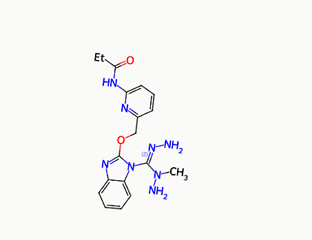 CCC(=O)Nc1cccc(COc2nc3ccccc3n2/C(=N/N)N(C)N)n1